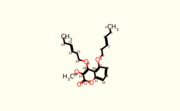 CCC=CCCOc1cccc2oc(=O)c(OC)c(OCCC=CCC)c12